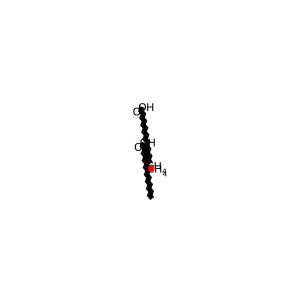 C.C.CCCCCCCCCCCCCCCC(=O)O.CCCCCCCCCCCCCCCC(=O)O